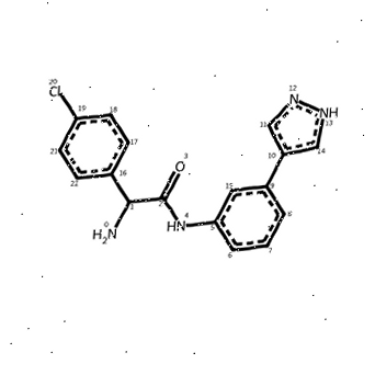 NC(C(=O)Nc1cccc(-c2cn[nH]c2)c1)c1ccc(Cl)cc1